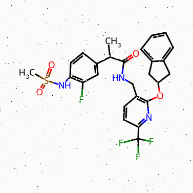 CC(C(=O)NCc1ccc(C(F)(F)F)nc1OC1Cc2ccccc2C1)c1ccc(NS(C)(=O)=O)c(F)c1